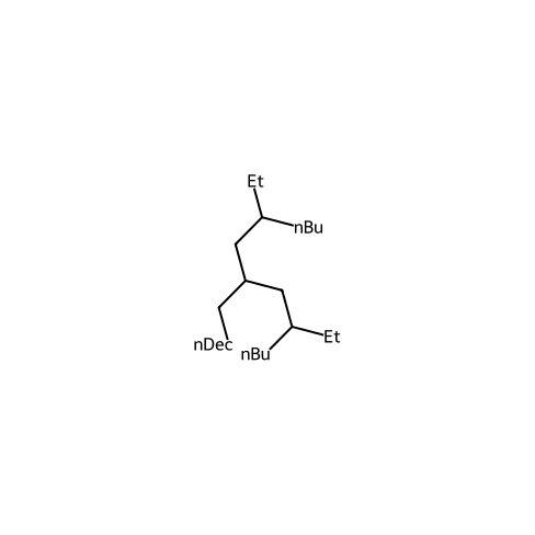 CCCCCCCCCCCC(CC(CC)CCCC)CC(CC)CCCC